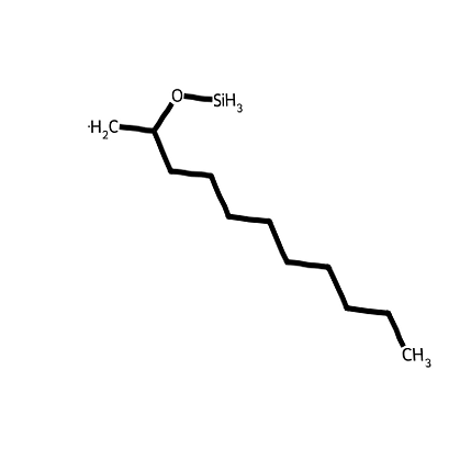 [CH2]C(CCCCCCCCC)O[SiH3]